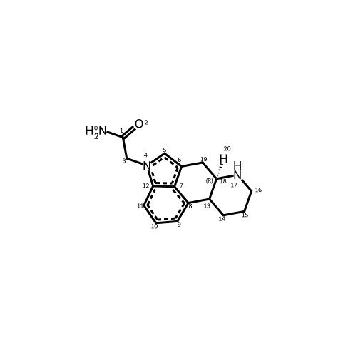 NC(=O)Cn1cc2c3c(cccc31)C1CCCN[C@@H]1C2